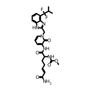 COC(=O)NC(CCC=CC(N)=O)C(=O)Nc1cccn(Cc2nc3c(C(F)(F)C(C)C)cccc3[nH]2)c1=O